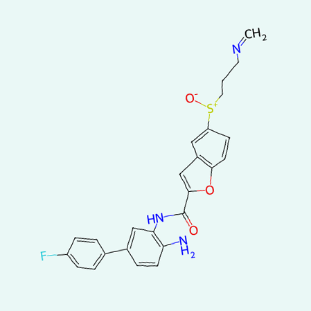 C=NCCC[S+]([O-])c1ccc2oc(C(=O)Nc3cc(-c4ccc(F)cc4)ccc3N)cc2c1